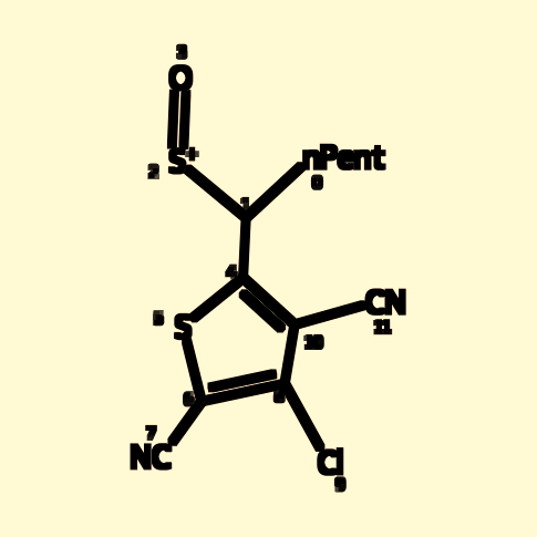 CCCCCC([S+]=O)c1sc(C#N)c(Cl)c1C#N